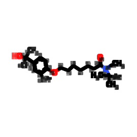 CCCc1cc(C(O)(C(F)(F)F)C(F)(F)F)ccc1OCCCCCCC(=O)N(C)C(C)(C)C(C)=O